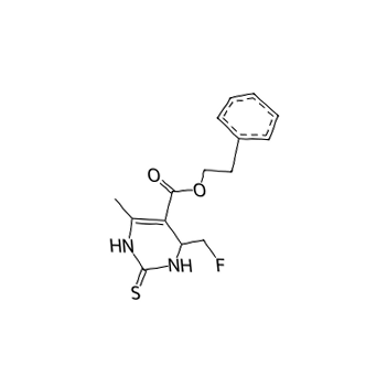 CC1=C(C(=O)OCCc2ccccc2)C(CF)NC(=S)N1